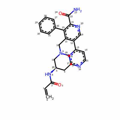 C=CC(=O)N[C@@H]1CCCN(Cc2c(-c3ccncn3)cnc(C(N)=O)c2-c2ccccc2)C1